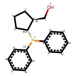 OC[C@@H]1CCC[C@H]1P(c1ccccc1)c1ccccc1